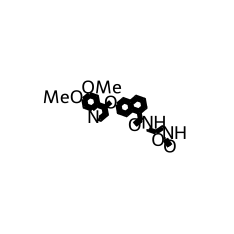 COc1cc2nccc(Oc3ccc4c(C(=O)NCC5CNC(=O)O5)cccc4c3)c2cc1OC